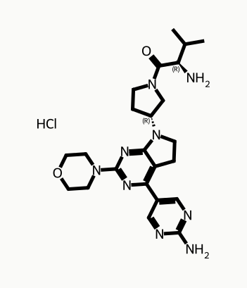 CC(C)[C@@H](N)C(=O)N1CC[C@@H](N2CCc3c(-c4cnc(N)nc4)nc(N4CCOCC4)nc32)C1.Cl